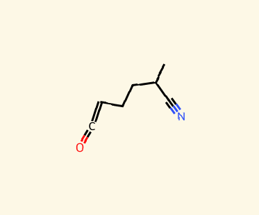 CC(C#N)CCC=C=O